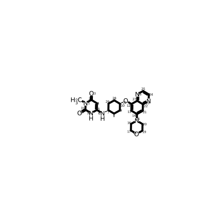 Cn1c(=O)cc(N[C@H]2CC[C@@H](Oc3cc(N4CCOCC4)cc4nccnc34)CC2)[nH]c1=O